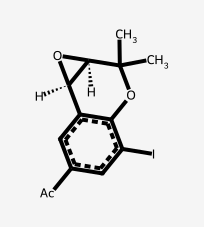 CC(=O)c1cc(I)c2c(c1)[C@H]1O[C@H]1C(C)(C)O2